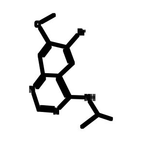 COc1cc2ncnc(NC(C)C)c2cc1Br